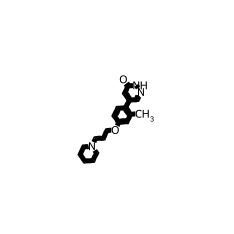 Cc1cc(OCCCN2CCCCC2)ccc1-c1cn[nH]c(=O)c1